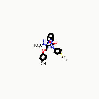 CN(C(=O)Nc1ccc(SC(F)(F)F)cc1)C1C2CCC1CN(C[C@@H](COc1ccc(C#N)cc1)NC(=O)O)C2